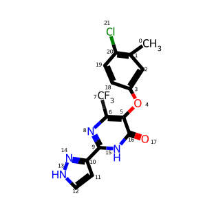 Cc1cc(Oc2c(C(F)(F)F)nc(-c3cc[nH]n3)[nH]c2=O)ccc1Cl